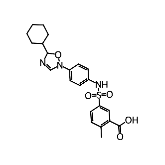 Cc1ccc(S(=O)(=O)Nc2ccc(N3C=NC(C4CCCCC4)O3)cc2)cc1C(=O)O